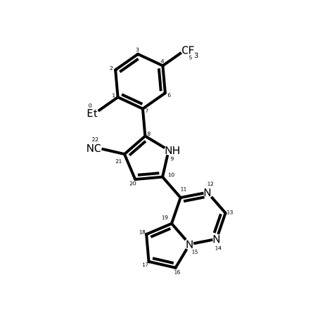 CCc1ccc(C(F)(F)F)cc1-c1[nH]c(-c2ncnn3cccc23)cc1C#N